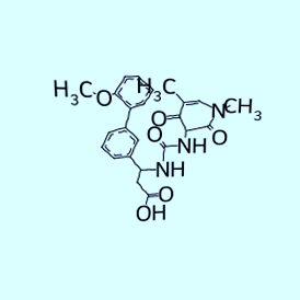 COc1ccccc1-c1cccc(C(CC(=O)O)NC(=O)NC2C(=O)C(C)=CN(C)C2=O)c1